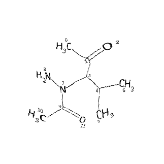 CC(=O)C(C(C)C)N(N)C(C)=O